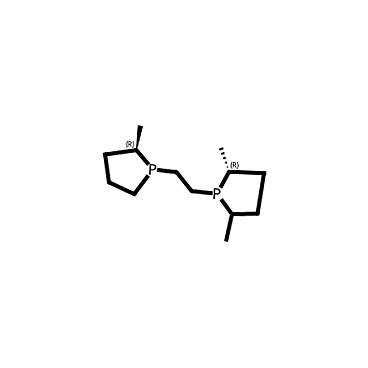 CC1CC[C@@H](C)P1CCP1CCC[C@H]1C